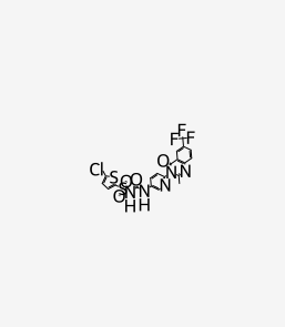 Cc1nc2ccc(C(F)(F)F)cc2c(=O)n1-c1ccc(NC(=O)NS(=O)(=O)c2ccc(Cl)s2)cn1